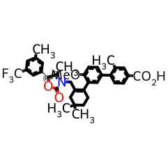 COc1ccc(-c2ccc(C(=O)O)cc2C)cc1C1=C(CN2C(=O)O[C@H](c3cc(C)cc(C(F)(F)F)c3)[C@H]2C)CC(C)(C)CC1